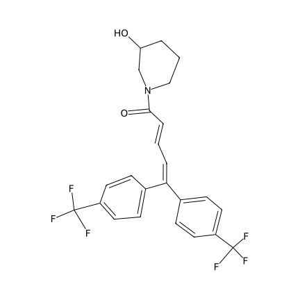 O=C(/C=C/C=C(c1ccc(C(F)(F)F)cc1)c1ccc(C(F)(F)F)cc1)N1CCCC(O)C1